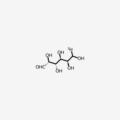 [2H]C(O)[C@@H](O)[C@H](O)[C@H](O)[C@@H](O)C=O